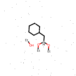 CCO.CCO[SiH](CC1CCCCC1)OCC